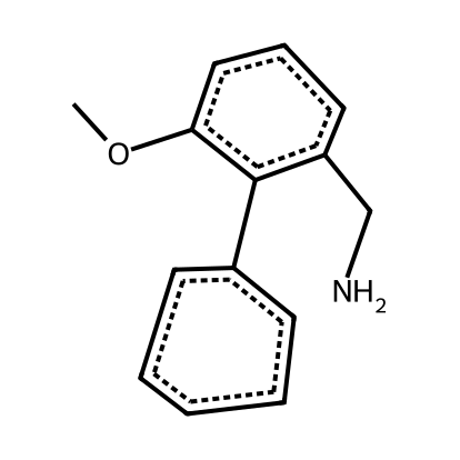 COc1cccc(CN)c1-c1ccccc1